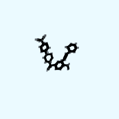 COc1ccc(C(=O)N2CCN(c3ccc([N+](=O)[O-])cc3)CC2)cc1C#Cc1ccccn1